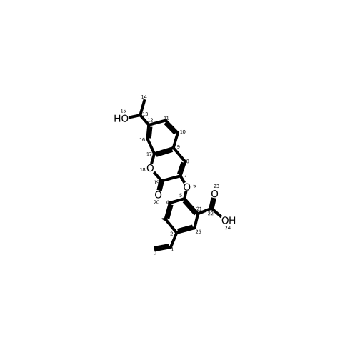 C=Cc1ccc(Oc2cc3ccc(C(C)O)cc3oc2=O)c(C(=O)O)c1